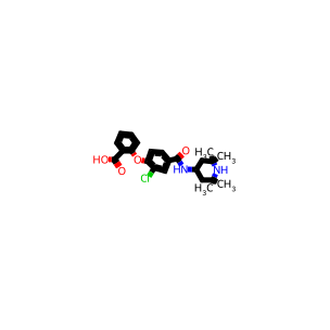 CC1(C)CC(NC(=O)c2ccc(Oc3ccccc3C(=O)O)c(Cl)c2)CC(C)(C)N1